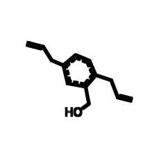 C=CCc1ccc(CC=C)c(CO)c1